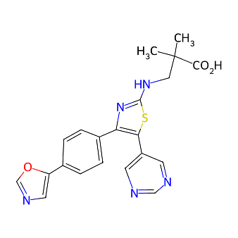 CC(C)(CNc1nc(-c2ccc(-c3cnco3)cc2)c(-c2cncnc2)s1)C(=O)O